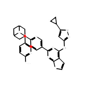 COc1ccc(CN2C3CC2CN(c2ccc(-c4nc(Nc5cc(C6CC6)[nH]n5)c5ccsc5n4)cn2)C3)cn1